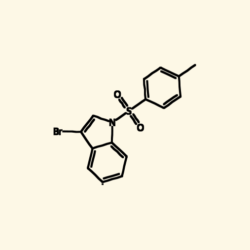 Cc1ccc(S(=O)(=O)n2cc(Br)c3c[c]ccc32)cc1